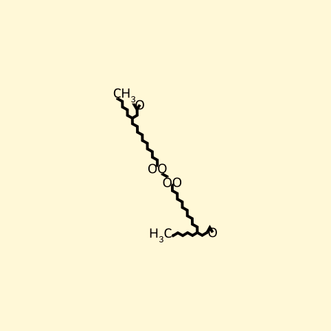 CCCCCCC(CCCCCCCCCCC(=O)OCCOC(=O)CCCCCCCCCCC(CCCCCC)CC1CO1)CC1CO1